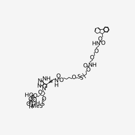 CSSCOC1CC(n2cc(C#CCNC(=O)OCCCCOCSSC(C)(C)CCOC(=O)NCCOCCOCCNC(=O)OCC3c4ccccc4C4=CC=CCC43)c3c(N)ncnc32)O[C@@H]1COP(=O)(O)O[PH](=O)O